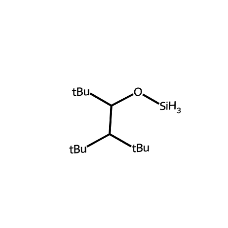 CC(C)(C)C(O[SiH3])C(C(C)(C)C)C(C)(C)C